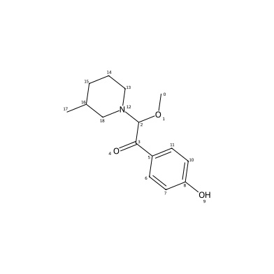 COC(C(=O)c1ccc(O)cc1)N1CCCC(C)C1